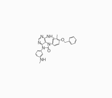 CNc1cccc(-n2c(=O)n(-c3ccc(OCc4ccccc4)c(C)c3)c3c(N)ncnc32)c1